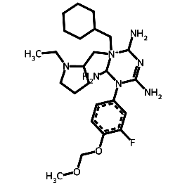 CCN1CCCC1C[N+]1(CC2CCCCC2)C(N)N=C(N)N(c2ccc(OCOC)c(F)c2)C1N